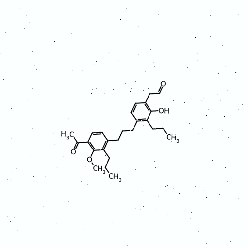 CCCc1c(CCCc2ccc(C(C)=O)c(OC)c2CCC)ccc(CC=O)c1O